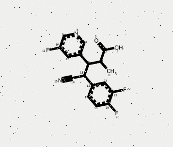 CC(C(=O)O)C(c1cncc(F)c1)C(C#N)c1ccc(F)c(F)c1